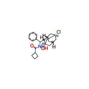 O=C(NC(c1ccccc1)[C@H]1[C@H]2C[C@@H]3C[C@](Cl)(C2)C[C@@]1(O)C3)C1CCC1